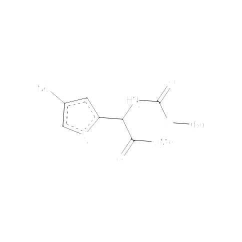 COC(=O)C(NC(=O)OC(C)(C)C)c1cc(C#N)cs1